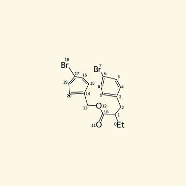 CCC(Cc1ccc(Br)cc1)C(=O)OCc1ccc(Br)cc1